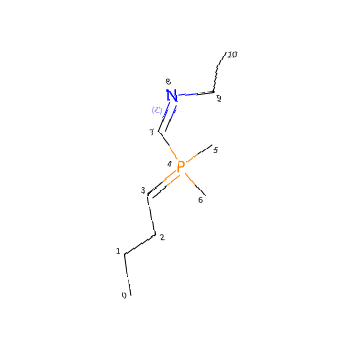 CCCC=P(C)(C)/C=N\CC